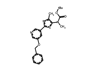 Cc1nc(-c2cncc(OCc3ccccc3)c2)sc1N(C)C(=O)OC(C)(C)C